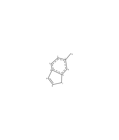 Cc1[c]cc2c(c1)CC=C2